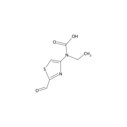 CCN(C(=O)O)c1csc(C=O)n1